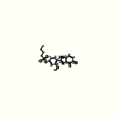 CCCCS(=O)(=O)Oc1ccc(-c2nc3[nH]c(=O)ccc3[nH]2)c(OC)c1